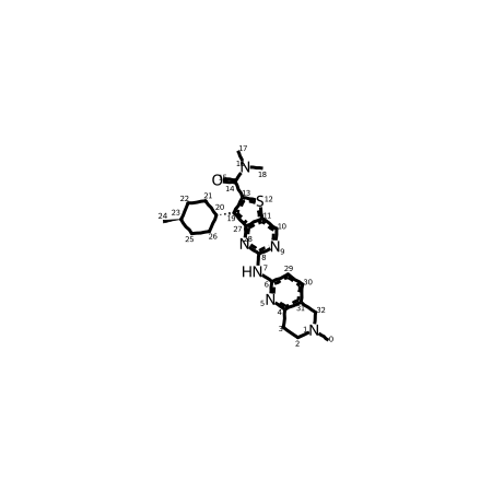 CN1CCc2nc(Nc3ncc4sc(C(=O)N(C)C)c([C@H]5CC[C@H](C)CC5)c4n3)ccc2C1